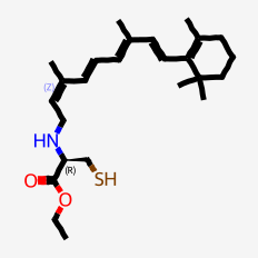 CCOC(=O)[C@H](CS)NC/C=C(/C)C=CC=C(C)C=CC1=C(C)CCCC1(C)C